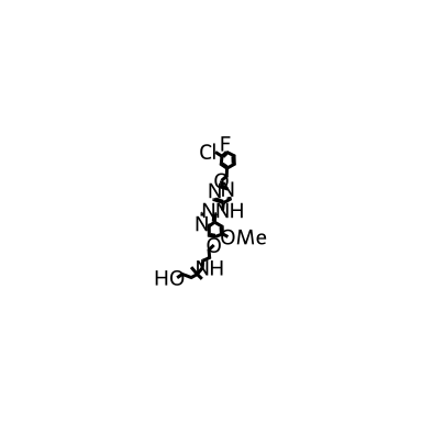 COc1cc2c(Nc3cnc(OCc4ccc(F)c(Cl)c4)nc3)ncnc2cc1OCCCNC(C)(C)CCO